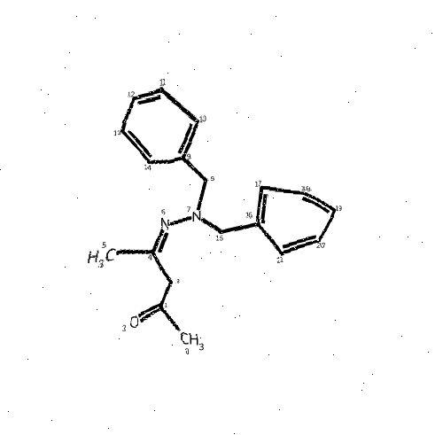 CC(=O)CC(C)=NN(Cc1ccccc1)Cc1ccccc1